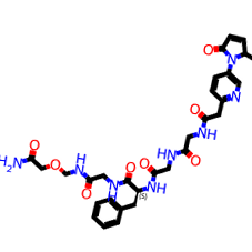 CC1C=CC(=O)N1c1ccc(CC(=O)NCC(=O)NCC(=O)N[C@@H](Cc2ccccc2)C(=O)NCC(=O)NCOCC(N)=O)nc1